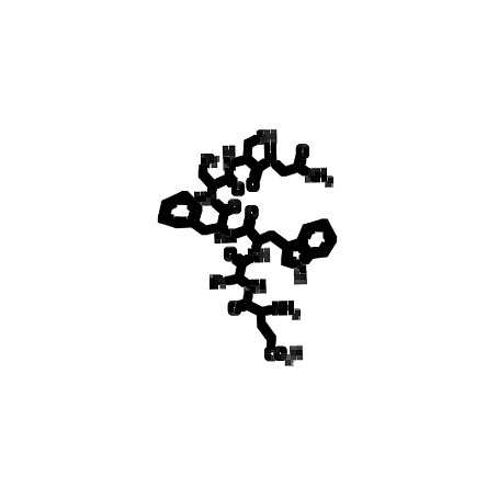 CC(C)CC(NC(=O)C(Cc1ccccc1)NC(=O)C(Cc1c[nH]c2ccccc12)NC(=O)C(NC(=O)C(N)CCC(=O)O)C(C)C)C(=O)NC(CS)C(=O)NCC(N)=O